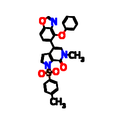 Cc1ccc(S(=O)(=O)n2ccc3c(-c4ccc5ocnc5c4Oc4ccccc4)cn(C)c(=O)c32)cc1